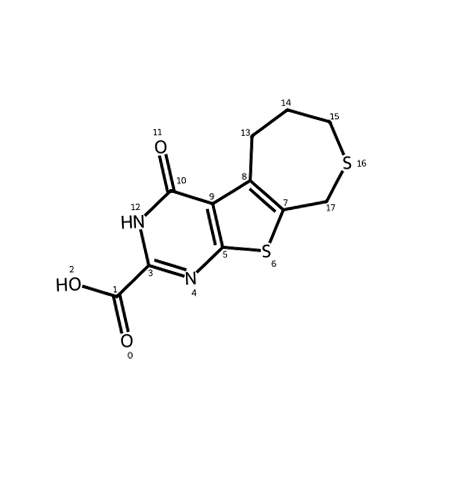 O=C(O)c1nc2sc3c(c2c(=O)[nH]1)CCCSC3